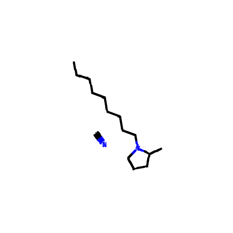 C#N.CCCCCCCCCN1CCCC1C